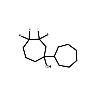 OC1(C2CCCCCC2)CCCC(F)(F)C(F)(F)C1